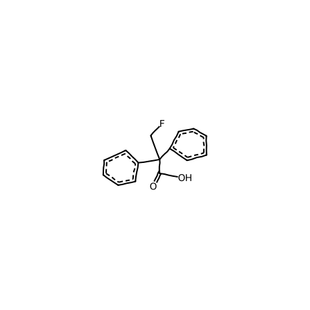 O=C(O)C(CF)(c1ccccc1)c1ccccc1